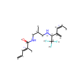 C=C/C=C(\C)C(=O)NCC(C)CNC(C(=C)/C=C\C)C(F)(F)F